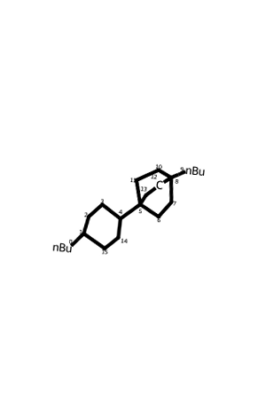 CCCCC1CCC(C23CCC(CCCC)(CC2)CC3)CC1